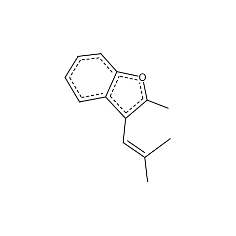 CC(C)=Cc1c(C)oc2ccccc12